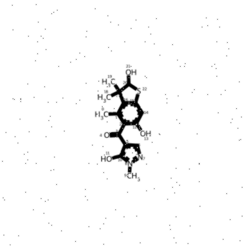 Cc1c(C(=O)c2cnn(C)c2O)c(O)cc2c1C(C)(C)C(O)S2